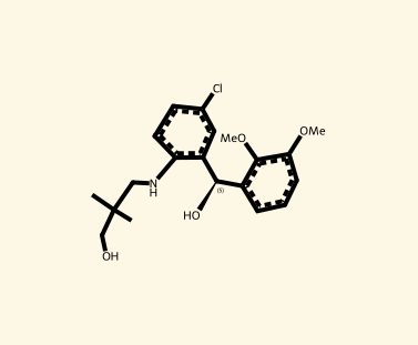 COc1cccc([C@@H](O)c2cc(Cl)ccc2NCC(C)(C)CO)c1OC